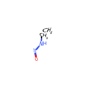 C.CNN=O